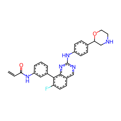 C=CC(=O)Nc1cccc(-c2c(F)ccc3cnc(Nc4ccc(C5CNCCO5)cc4)nc23)c1